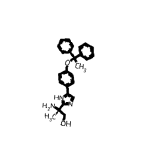 CC(Oc1ccc(-c2cnc([C@@](C)(N)CO)[nH]2)cc1)(c1ccccc1)c1ccccc1